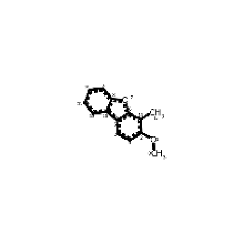 COc1ccc2c(oc3ccccc32)c1C